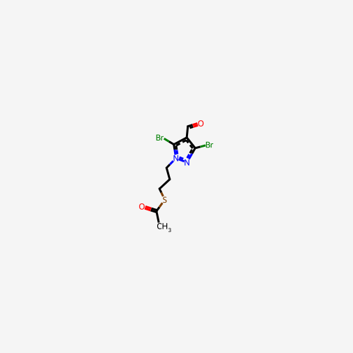 CC(=O)SCCCn1nc(Br)c(C=O)c1Br